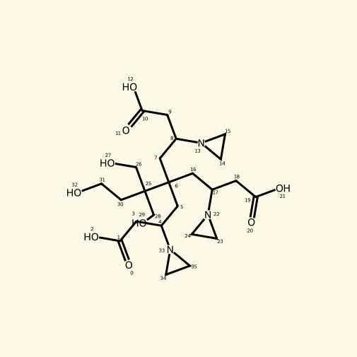 O=C(O)CC(CC(CC(CC(=O)O)N1CC1)(CC(CC(=O)O)N1CC1)C(CO)(CO)CCO)N1CC1